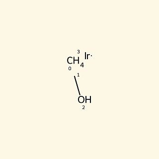 C.CO.[Ir]